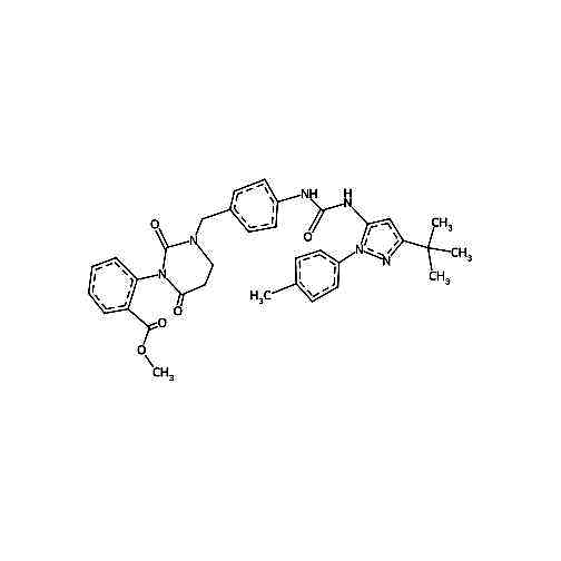 COC(=O)c1ccccc1N1C(=O)CCN(Cc2ccc(NC(=O)Nc3cc(C(C)(C)C)nn3-c3ccc(C)cc3)cc2)C1=O